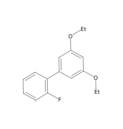 CCOc1cc(OCC)cc(-c2ccc[c]c2F)c1